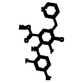 COC(=O)c1cn(Cc2cccnc2)c(=O)c(F)c1Nc1ccc(Br)cc1F